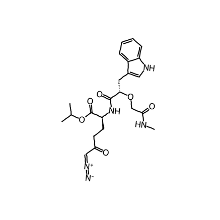 CNC(=O)CO[C@@H](Cc1c[nH]c2ccccc12)C(=O)N[C@@H](CCC(=O)C=[N+]=[N-])C(=O)OC(C)C